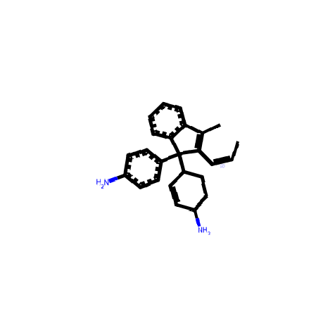 C/C=C\C1=C(C)c2ccccc2C1(c1ccc(N)cc1)C1C=CC(N)CC1